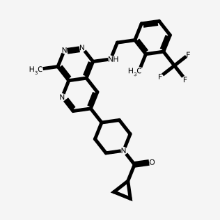 Cc1c(CNc2nnc(C)c3ncc(C4CCN(C(=O)C5CC5)CC4)cc23)cccc1C(F)(F)F